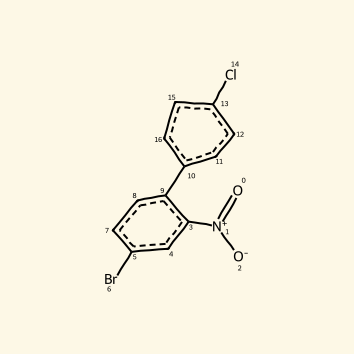 O=[N+]([O-])c1cc(Br)ccc1-c1ccc(Cl)cc1